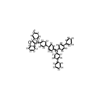 Cc1ccc2c(c1)c1oc3ccccc3c1n2-c1ccc(-c2ccc(N(c3ccc(-c4ccccc4)cc3)c3ccc(-c4ccccc4)cc3)cc2)cc1